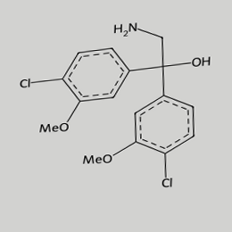 COc1cc(C(O)(CN)c2ccc(Cl)c(OC)c2)ccc1Cl